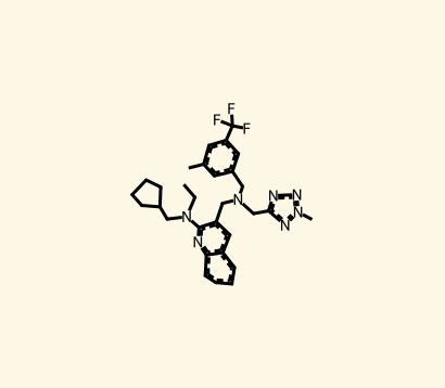 CCN(CC1CCCC1)c1nc2ccccc2cc1CN(Cc1cc(C)cc(C(F)(F)F)c1)Cc1nnn(C)n1